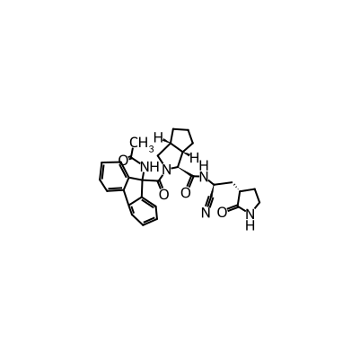 CC(=O)NC1(C(=O)N2C[C@@H]3CCC[C@@H]3[C@H]2C(=O)N[C@H](C#N)C[C@@H]2CCNC2=O)c2ccccc2-c2ccccc21